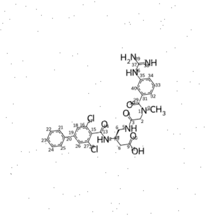 CN(CC(=O)NC[C@@H](CC(=O)O)NC(=O)c1c(Cl)cc(-c2ccccc2)cc1Cl)C(=O)c1cccc(NC(=N)N)c1